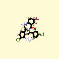 CC(c1ccc(Cl)cc1N)N1C(=O)c2cc(I)ccc2NCC1c1ccc(Cl)cc1